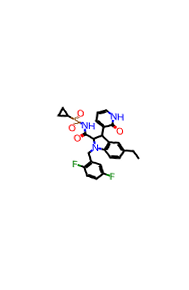 CCc1ccc2c(c1)C(c1ccc[nH]c1=O)C(C(=O)NS(=O)(=O)C1CC1)N2Cc1cc(F)ccc1F